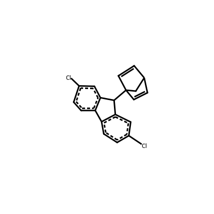 Clc1ccc2c(c1)C(C13C=CC(C=C1)C3)c1cc(Cl)ccc1-2